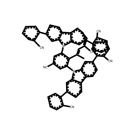 C/C=C(\C=C(/C)c1c(-n2c3cc(-c4ccccc4C#N)ccc3c3ccc(-c4ccccc4C#N)cc32)cc(C#N)cc1-n1c2cc(-c3ccccc3C#N)ccc2c2ccc(-c3ccccc3C#N)cc21)C(F)(F)F